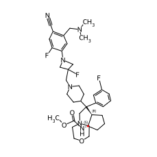 COC(=O)N[C@H]1CCC[C@@H]1C(CN1CCOCC1)(c1cccc(F)c1)C1CCN(CC2(F)CN(c3cc(CN(C)C)c(C#N)cc3F)C2)CC1